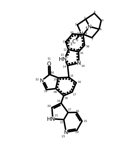 CN1CC2CCC(C1)N2c1ccc2[nH]c(-c3ccc(C4=CNC5N=CC=CC45)c4c3C(=O)N=C4)nc2c1